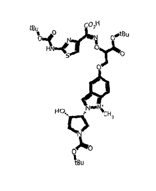 C[n+]1c2ccc(OCC(ON=C(C(=O)O)c3csc(NC(=O)OC(C)(C)C)n3)C(=O)OC(C)(C)C)cc2cn1[C@@H]1CN(C(=O)OC(C)(C)C)C[C@@H]1O